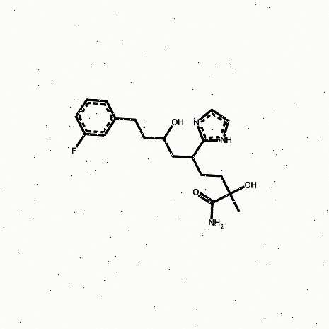 CC(O)(CCC(CC(O)[CH]Cc1cccc(F)c1)c1ncc[nH]1)C(N)=O